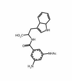 CC(=O)Nc1cc(N)cc(C(=O)NC(CC2=CNC3C=CC=CC23)C(=O)O)c1